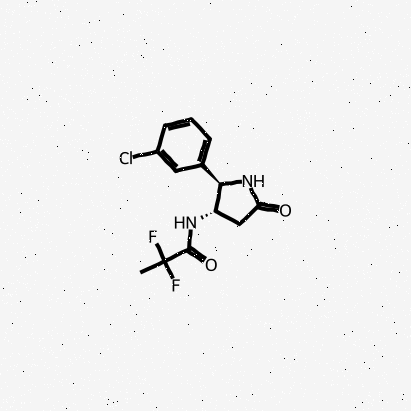 CC(F)(F)C(=O)N[C@H]1CC(=O)N[C@@H]1c1cccc(Cl)c1